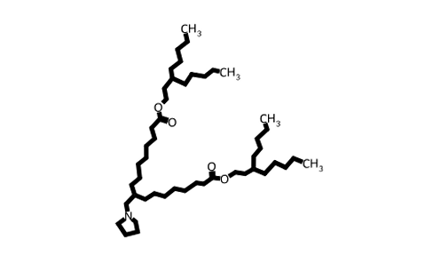 CCCCCC(CCCCC)CCOC(=O)CCCCCCCC(CCCCCCCC(=O)OCCC(CCCCC)CCCCC)CN1CCCC1